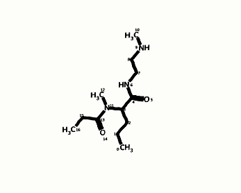 CCCC(C(=O)NCCNC)N(C)C(=O)CC